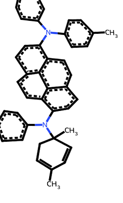 CC1=CCC(C)(N(c2ccccc2)c2ccc3ccc4c(N(c5ccccc5)c5ccc(C)cc5)ccc5ccc2c3c54)C=C1